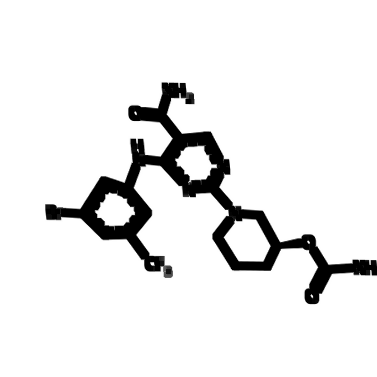 NC(=O)O[C@H]1CCCN(c2ncc(C(N)=O)c(Nc3cc(Br)cc(C(F)(F)F)c3)n2)C1